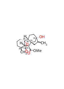 C=C1C[C@]23C[C@@]1(O)CC[C@H]2[C@@]12CCC[C@@](C)(C(=O)O1)[C@H]2[C@@H]3C(=O)OC